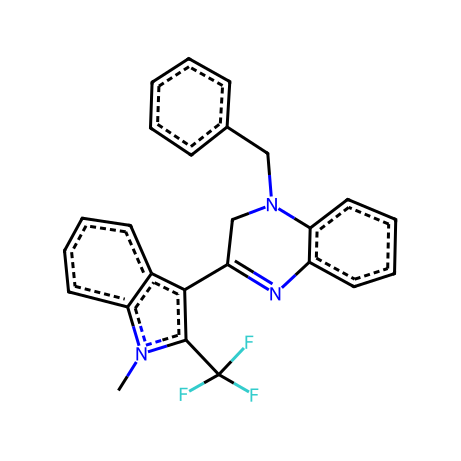 Cn1c(C(F)(F)F)c(C2=Nc3ccccc3N(Cc3ccccc3)C2)c2ccccc21